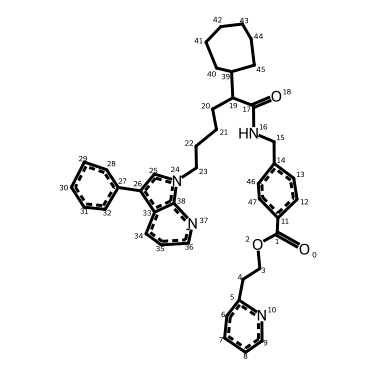 O=C(OCCc1ccccn1)c1ccc(CNC(=O)C(CCCCn2cc(-c3ccccc3)c3cccnc32)C2CCCCCC2)cc1